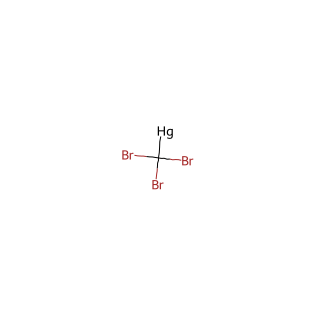 Br[C](Br)(Br)[Hg]